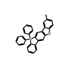 Cc1ccc2oc3cc4c(cc3c2c1)[Si](c1ccccc1)(c1ccccc1)c1ccccc1-4